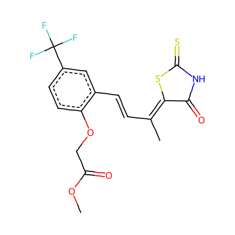 COC(=O)COc1ccc(C(F)(F)F)cc1C=CC(C)=C1SC(=S)NC1=O